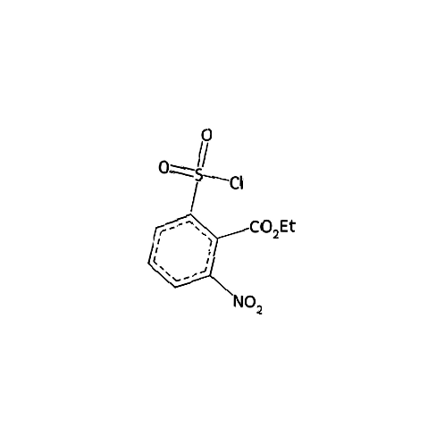 CCOC(=O)c1c([N+](=O)[O-])cccc1S(=O)(=O)Cl